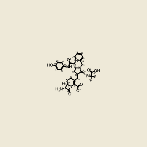 N[C@@H]1C(=O)N2C(C(=O)[O-])=C(C=C3CCN(Cc4cccc[n+]4CC(=O)Nc4ccc(O)cc4)C3=O)CS[C@H]12.O=C(O)C(F)(F)F